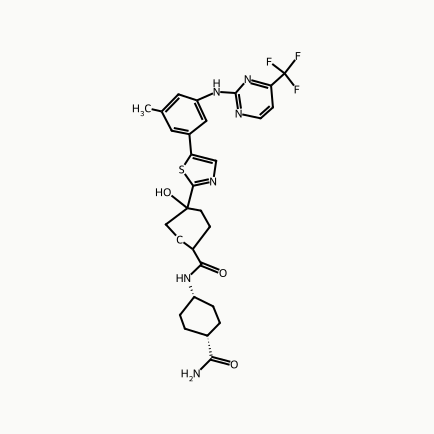 Cc1cc(Nc2nccc(C(F)(F)F)n2)cc(-c2cnc(C3(O)CCC(C(=O)N[C@H]4CC[C@@H](C(N)=O)CC4)CC3)s2)c1